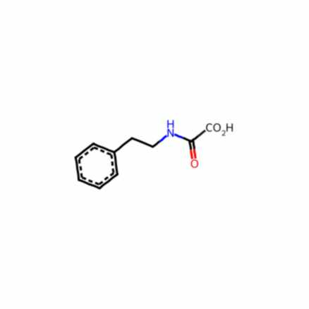 O=C(O)C(=O)NCCc1ccccc1